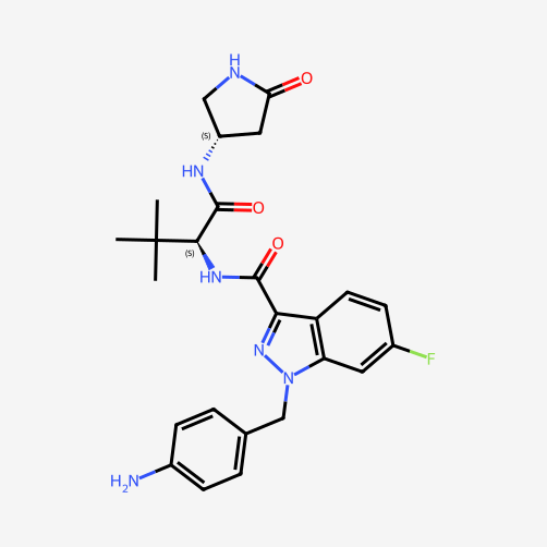 CC(C)(C)[C@H](NC(=O)c1nn(Cc2ccc(N)cc2)c2cc(F)ccc12)C(=O)N[C@@H]1CNC(=O)C1